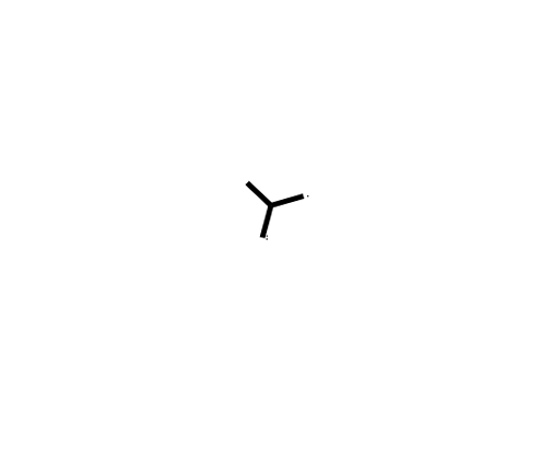 [CH]C([CH2])C